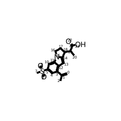 C=C(C)c1cc(S(C)(=O)=O)cc2c1cc1n2CCC1C(C)C(=O)O